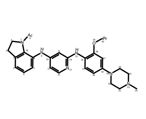 CC(=O)N1CCc2cccc(Nc3ccnc(Nc4ccc(N5CCN(C)CC5)cc4OC(C)C)c3)c21